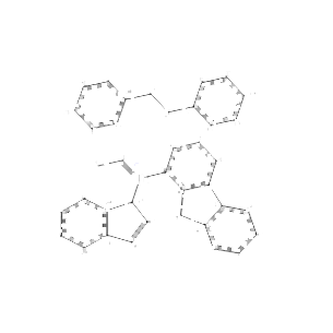 C/[CH]=[Ti](/[c]1cccc2c1Cc1ccccc1-2)[CH]1C=Cc2ccccc21.c1ccc(CCc2ccccc2)cc1